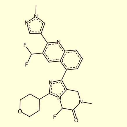 CN1Cc2c(-c3cccc4nc(-c5cnn(C)c5)c(C(F)F)cc34)nc(C3CCOCC3)n2C(F)C1=O